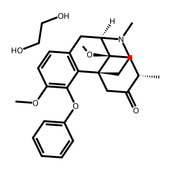 COc1ccc2c(c1Oc1ccccc1)[C@]13CCN(C)[C@H](C2)[C@]1(OC)C[C@H](C)C(=O)C3.OCCO